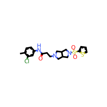 Cc1ccc(NC(=O)CCN2CC3CN(S(=O)(=O)c4cccs4)CC3C2)cc1Cl